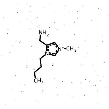 CCCCn1c[n+](C)cc1CN